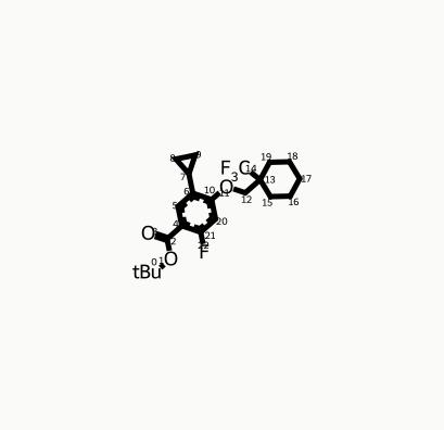 CC(C)(C)OC(=O)c1cc(C2CC2)c(OCC2(C(F)(F)F)CCCCC2)cc1F